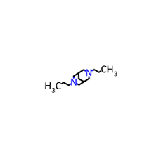 CCCN1CC2CC(C1)CN(CCC)C2